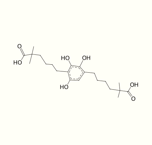 CC(C)(CCCCc1cc(O)c(CCCCC(C)(C)C(=O)O)c(O)c1O)C(=O)O